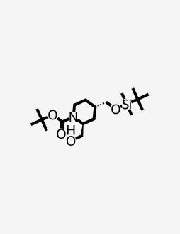 CC(C)(C)OC(=O)N1CC[C@H](CO[Si](C)(C)C(C)(C)C)C[C@H]1CO